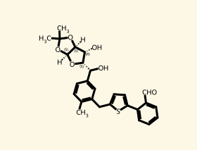 Cc1ccc(C(O)[C@@H]2O[C@H]3OC(C)(C)O[C@H]3[C@@H]2O)cc1Cc1ccc(-c2ccccc2C=O)s1